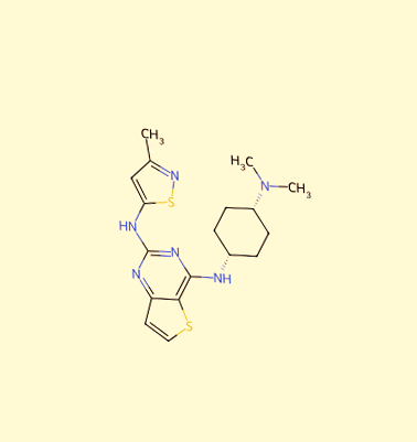 Cc1cc(Nc2nc(N[C@H]3CC[C@@H](N(C)C)CC3)c3sccc3n2)sn1